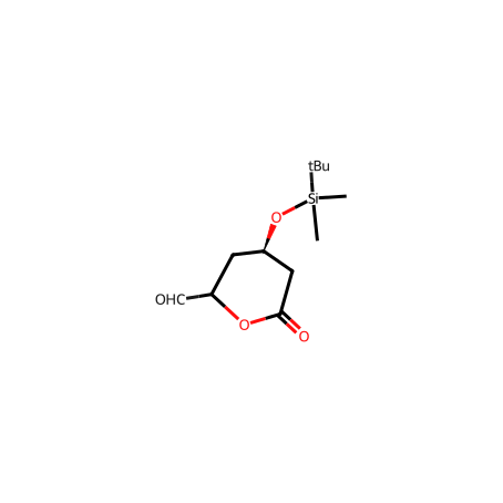 CC(C)(C)[Si](C)(C)O[C@H]1CC(=O)OC(C=O)C1